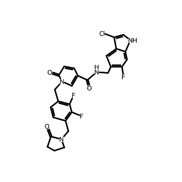 O=C(NCc1cc2c(Cl)c[nH]c2cc1F)c1ccc(=O)n(Cc2ccc(CN3CCCC3=O)c(F)c2F)c1